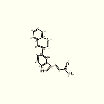 NC(=O)C=Cc1c[nH]c2ncc(-c3cnc4ccccc4c3)nc12